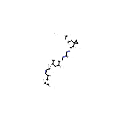 COC(=O)C[C@@H]1CC2(CC2)[C@H](O)[C@@H](/C=C/C(C)=C/C[C@@H]2O[C@H](C)[C@H](NC(=O)/C=C\C(C)c3noc(C)n3)C[C@@H]2C)O1